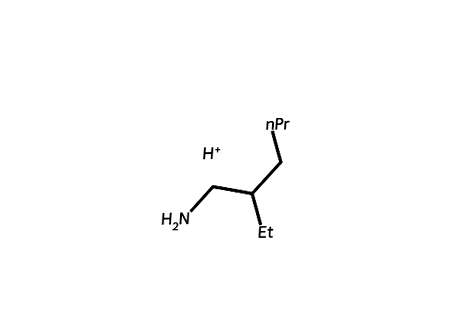 CCCCC(CC)CN.[H+]